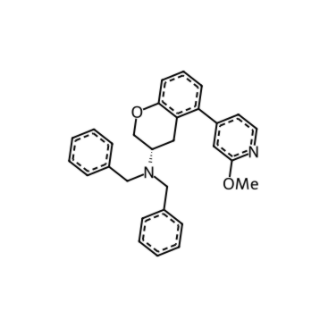 COc1cc(-c2cccc3c2C[C@H](N(Cc2ccccc2)Cc2ccccc2)CO3)ccn1